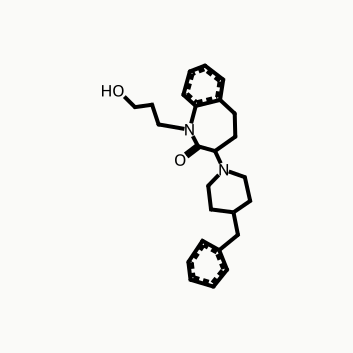 O=C1C(N2CCC(Cc3ccccc3)CC2)CCc2ccccc2N1CCCO